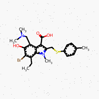 CCc1c(Br)c(O)c(CN(C)C)c2c(C(=O)O)c(CSc3ccc(C)cc3)n(C)c12